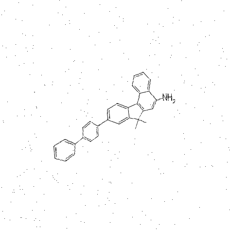 CC1(C)c2cc(-c3ccc(-c4ccccc4)cc3)ccc2-c2c1cc(N)c1ccccc21